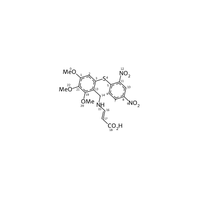 COc1cc(Sc2ccc([N+](=O)[O-])cc2[N+](=O)[O-])c(CNC=CC(=O)O)c(OC)c1OC